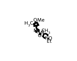 CCC(=O)N1CCC(N(C)C(=O)n2cnc(-c3ccc(OC)c(C)c3)c2)CC1